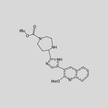 COc1nc2ccccc2cc1-c1cnc(C2CCN(C(=O)OC(C)(C)C)CCN2)[nH]1